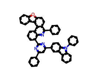 c1ccc(-c2cc(-c3ccc4c(c3)c3ccccc3n4-c3ccccc3)nc(-c3cccc4c3nc(-c3ccccc3)c3ccc5oc6ccccc6c5c34)n2)cc1